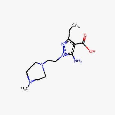 CCc1nn(CCN2CCN(C)CC2)c(N)c1C(=O)O